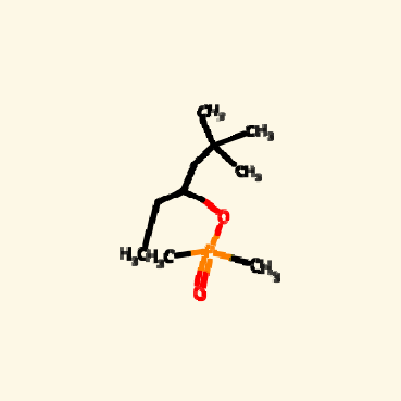 CCC(CC(C)(C)C)OP(C)(C)=O